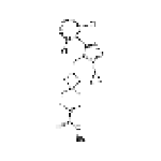 CC(C)(C)OC(=O)N1CCC2(CC1)CC(Cc1c(-c3c(Cl)cccc3Cl)noc1C1CC1)C2